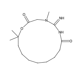 CN1CC(=O)OC(C)(C)CCCCCCCC(=O)NC1=N